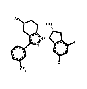 CC(=O)N1CCc2c(c(-c3cccc(C(F)(F)F)c3)nn2[C@H]2c3cc(F)cc(F)c3C[C@H]2O)C1